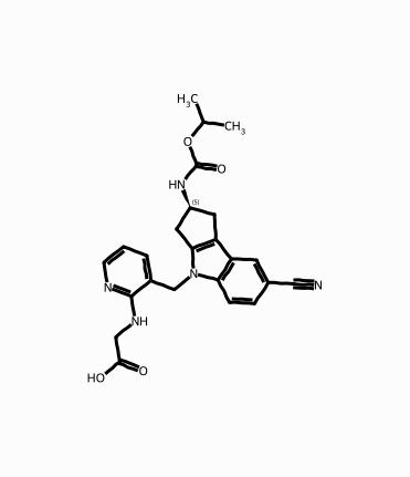 CC(C)OC(=O)N[C@H]1Cc2c(n(Cc3cccnc3NCC(=O)O)c3ccc(C#N)cc23)C1